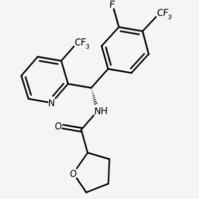 O=C(N[C@@H](c1ccc(C(F)(F)F)c(F)c1)c1ncccc1C(F)(F)F)C1CCCO1